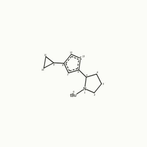 CC(C)(C)N1CCCC1c1cc(C2CC2)cs1